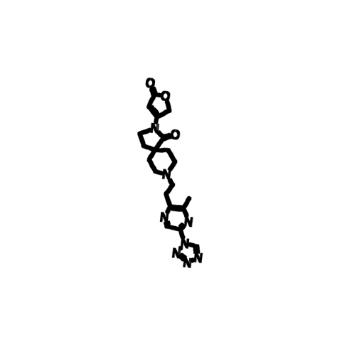 Cc1nc(-n2cnnn2)cnc1CCN1CCC2(CC1)CCN(C1=CC(=O)OC1)C2=O